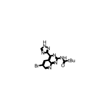 CC(C)(C)C(=O)Nc1nc(-c2nc[nH]n2)c2cc(Br)cnc2n1